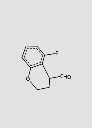 O=CC1CCOc2cccc(F)c21